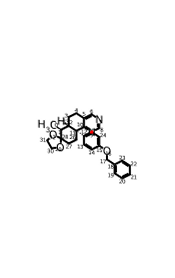 C[C@H]1[C@@H]2CCc3cncnc3[C@@]2(c2ccc(OCc3ccccc3)cc2)CCC12OCCO2